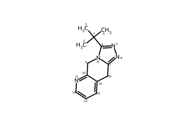 CC(C)(C)c1nnc2n1Cc1ncccc1C2